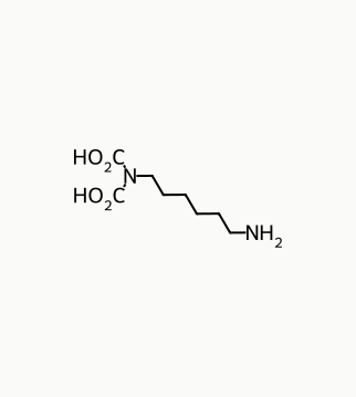 NCCCCCCN(C(=O)O)C(=O)O